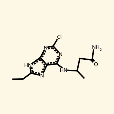 CCc1nc2c(NC(C)CC(N)=O)nc(Cl)nc2[nH]1